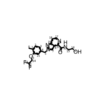 Cc1ccc(Cn2cc3c(C(=O)NCCO)nccc3n2)cc1OCC(F)F